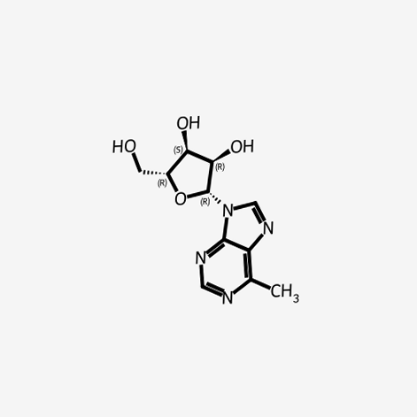 Cc1ncnc2c1ncn2[C@@H]1O[C@H](CO)[C@@H](O)[C@H]1O